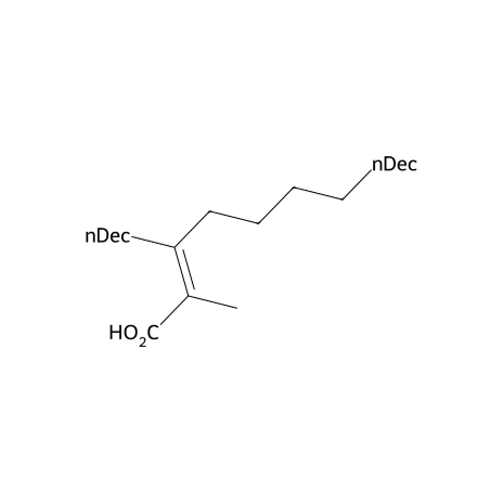 CCCCCCCCCCCCCCC(CCCCCCCCCC)=C(C)C(=O)O